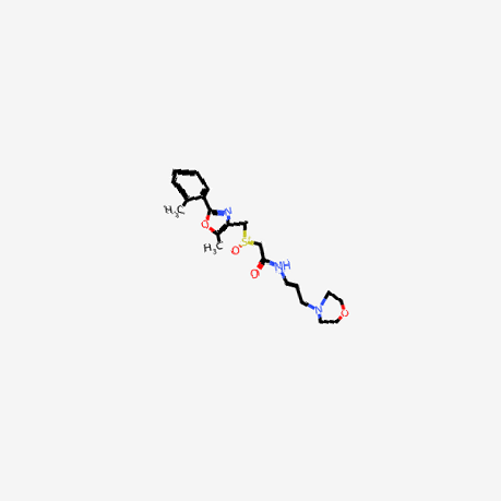 Cc1ccccc1-c1nc(C[S+]([O-])CC(=O)NCCCN2CCOCC2)c(C)o1